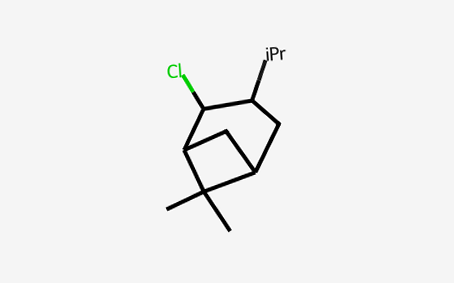 CC(C)C1CC2CC(C1Cl)C2(C)C